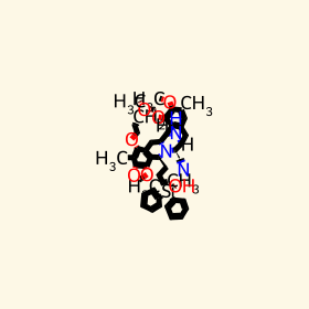 C=CCOc1c(C)c2c(c3c1CC1[C@H]4N[C@@H](Cc5cc(C)c(OC)c(OCOC)c54)[C@H](C#N)N1[C@H]3CCC(C)(C)[Si](O)(c1ccccc1)c1ccccc1)OCO2